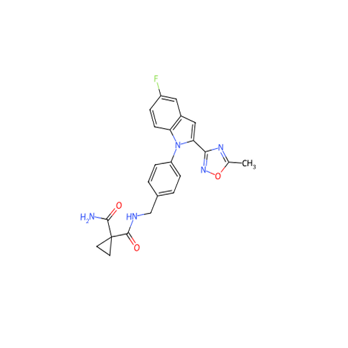 Cc1nc(-c2cc3cc(F)ccc3n2-c2ccc(CNC(=O)C3(C(N)=O)CC3)cc2)no1